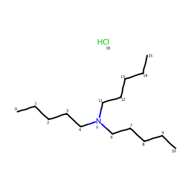 CCCCCN(CCCCC)CCCCC.Cl